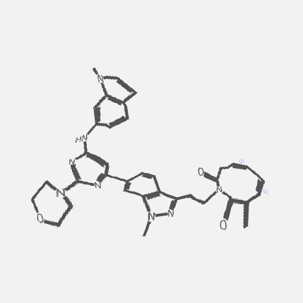 C=C1/C=C\C=C/CC(=O)N(CCc2nn(C)c3cc(-c4cc(Nc5ccc6ccn(C)c6c5)nc(N5CCOCC5)n4)ccc23)C1=O